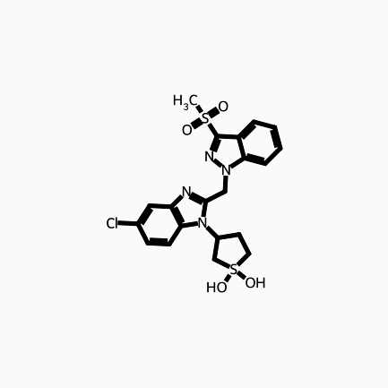 CS(=O)(=O)c1nn(Cc2nc3cc(Cl)ccc3n2C2CCS(O)(O)C2)c2ccccc12